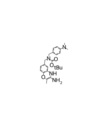 CC1=C(N)Nc2cc(CN(Cc3ccc(N(C)C)cc3)C(=O)OC(C)(C)C)ccc2O1